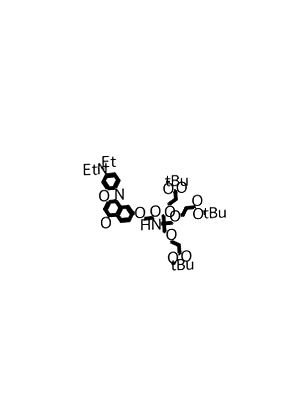 CCN(CC)c1ccc2nc3c4cc(OCC(=O)NC(COCCC(=O)OC(C)(C)C)(COCCC(=O)OC(C)(C)C)COCCC(=O)OC(C)(C)C)ccc4c(=O)cc-3oc2c1